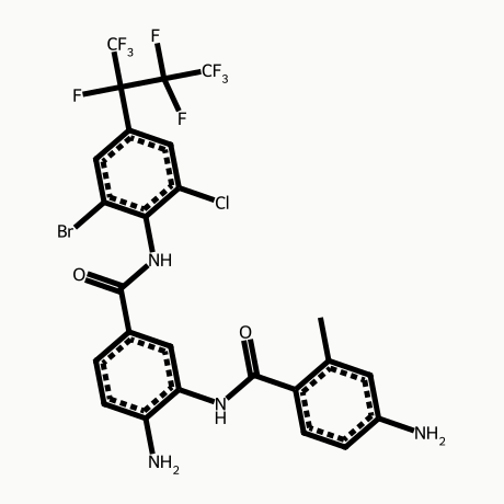 Cc1cc(N)ccc1C(=O)Nc1cc(C(=O)Nc2c(Cl)cc(C(F)(C(F)(F)F)C(F)(F)C(F)(F)F)cc2Br)ccc1N